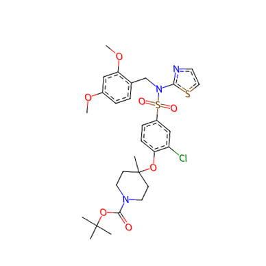 COc1ccc(CN(c2nccs2)S(=O)(=O)c2ccc(OC3(C)CCN(C(=O)OC(C)(C)C)CC3)c(Cl)c2)c(OC)c1